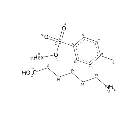 CCCCCCOS(=O)(=O)c1ccc(C)cc1.NCCCCCC(=O)O